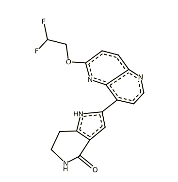 O=C1NCCc2[nH]c(-c3ccnc4ccc(OCC(F)F)nc34)cc21